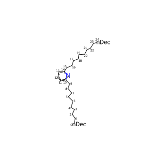 CCCCCCCCCCCCCCCCCCCc1c[c]cc(CCCCCCCCCCCCCCCCCCC)n1